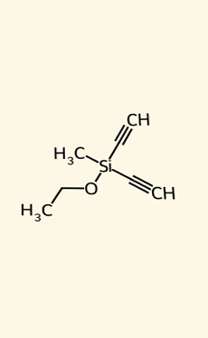 C#C[Si](C)(C#C)OCC